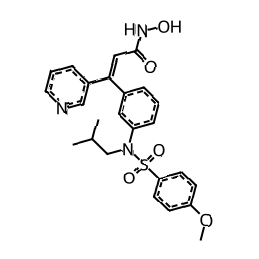 COc1ccc(S(=O)(=O)N(CC(C)C)c2cccc(/C(=C\C(=O)NO)c3cccnc3)c2)cc1